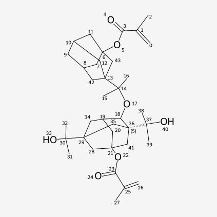 C=C(C)C(=O)OC12CC3CC(C1)CC(C(C)(C)OC1C4CC5(OC(=O)C(=C)C)CC(C(C)(C)O)(C4)C[C@]1(C(C)(C)O)C5)(C3)C2